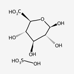 O=C(O)[C@H]1O[C@@H](O)[C@H](O)[C@@H](O)[C@@H]1O.O=S(=O)(O)O